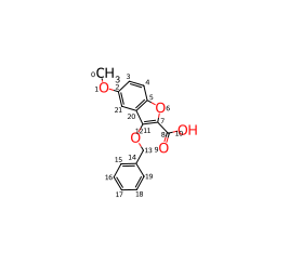 COc1ccc2oc(C(=O)O)c(OCc3ccccc3)c2c1